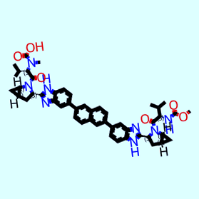 COC(=O)N[C@H](C(=O)N1[C@@H]2C[C@H]2C[C@H]1c1nc2cc(-c3ccc4cc(-c5ccc6[nH]c([C@@H]7C[C@H]8C[C@H]8N7C(=O)[C@H](C(C)C)N(C)C(=O)O)nc6c5)ccc4c3)ccc2[nH]1)C(C)C